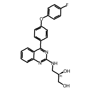 OC[C@H](O)CNc1nc(-c2ccc(Oc3ccc(F)cc3)cc2)c2ccccc2n1